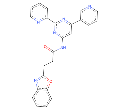 O=C(CCc1nc2ccccc2o1)Nc1cc(-c2cccnc2)nc(-c2ccccn2)n1